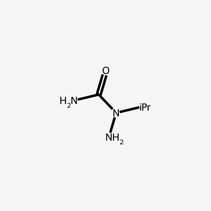 CC(C)N(N)C(N)=O